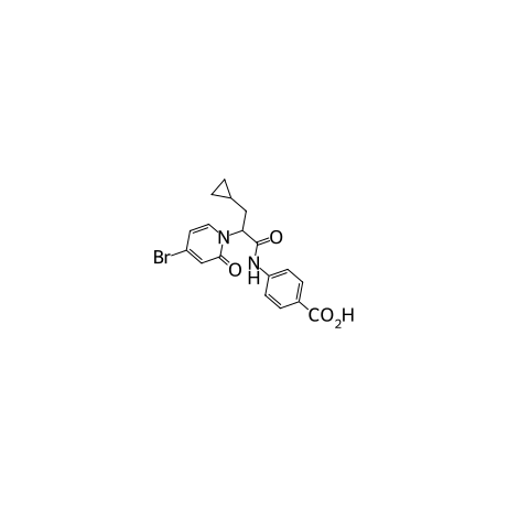 O=C(O)c1ccc(NC(=O)C(CC2CC2)n2ccc(Br)cc2=O)cc1